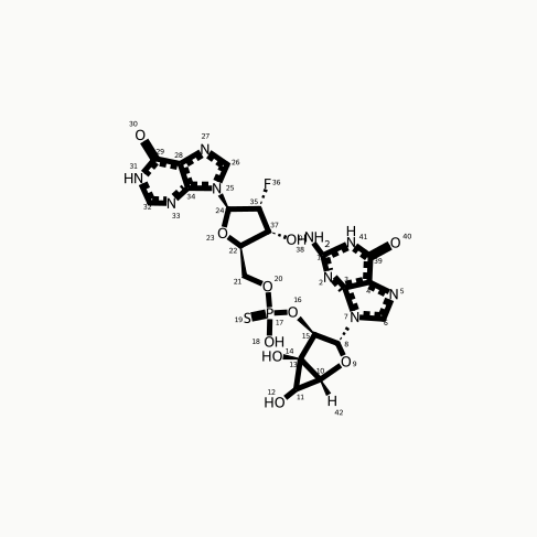 Nc1nc2c(ncn2[C@@H]2O[C@@H]3C(O)[C@]3(O)[C@H]2OP(O)(=S)OC[C@H]2O[C@@H](n3cnc4c(=O)[nH]cnc43)[C@H](F)[C@@H]2O)c(=O)[nH]1